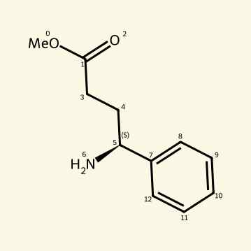 COC(=O)CC[C@H](N)c1ccccc1